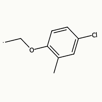 [CH2]COc1ccc(Cl)cc1C